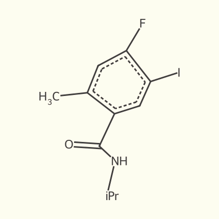 Cc1cc(F)c(I)cc1C(=O)NC(C)C